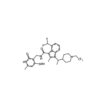 CSc1cc(C)[nH]c(=O)c1CNC(=O)c1c(C)n(C(C)C2CCN(CC(F)(F)F)CC2)c2cccc(C(F)F)c12